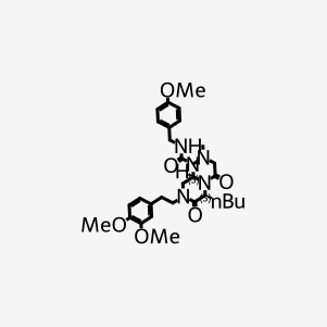 CCCC[C@H]1C(=O)N(CCc2ccc(OC)c(OC)c2)C[C@H]2N1C(=O)CN(C)N2C(=O)NCc1ccc(OC)cc1